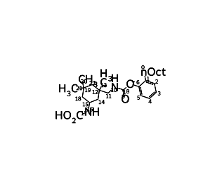 CCCCCCCCc1ccccc1OC(=O)NCC1(C)CC(NC(=O)O)CC(C)(C)C1